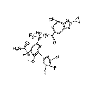 C[C@]1(C(N)=O)COc2c1cc([C@@](O)(CNC(=O)c1cc(Cl)c3nn(C4CC4)cc3c1)C(F)(F)F)nc2-c1cc(Cl)c(F)c(Cl)c1